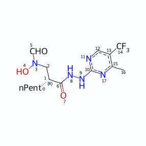 CCCCC[C@H](CN(O)C=O)C(=O)NNc1ncc(C(F)(F)F)c(C)n1